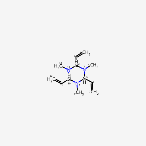 C=C[SiH]1N(C)[SiH](C=C)N(C)[SiH](C=C)N1C